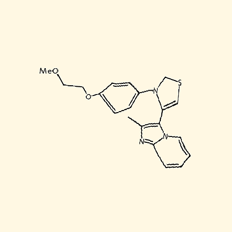 COCCOc1ccc(N2CSC=C2c2c(C)nc3ccccn23)cc1